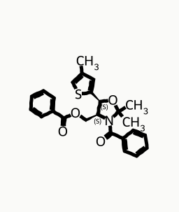 Cc1csc([C@H]2OC(C)(C)N(C(=O)c3ccccc3)[C@H]2COC(=O)c2ccccc2)c1